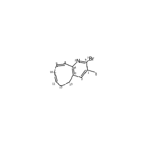 Cc1cc2c(nc1Br)C=CC=CCC2